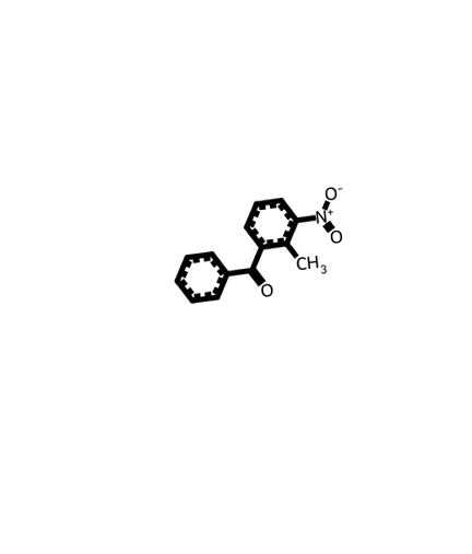 Cc1c(C(=O)c2ccccc2)cccc1[N+](=O)[O-]